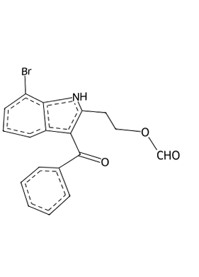 O=COCCc1[nH]c2c(Br)cccc2c1C(=O)c1ccccc1